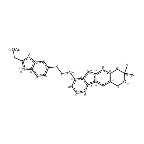 CC(=O)OCc1nc2cc(CCNc3ncnc4c3sc3nc5c(cc34)COC(C)(C)C5)ccc2[nH]1